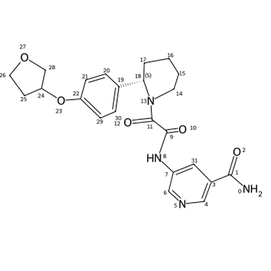 NC(=O)c1cncc(NC(=O)C(=O)N2CCCC[C@H]2c2ccc(OC3CCOC3)cc2)c1